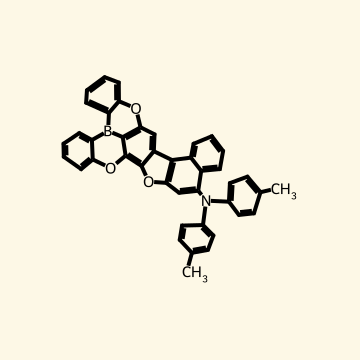 Cc1ccc(N(c2ccc(C)cc2)c2cc3oc4c5c6c(cc4c3c3ccccc23)Oc2ccccc2B6c2ccccc2O5)cc1